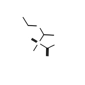 CCOC(C)P(C)(=O)C(=O)O